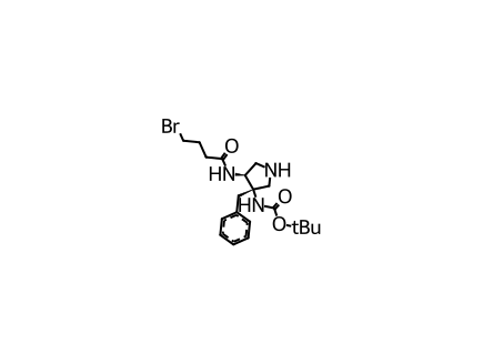 CC(C)(C)OC(=O)N[C@@]1(Cc2ccccc2)CNC[C@@H]1NC(=O)CCCBr